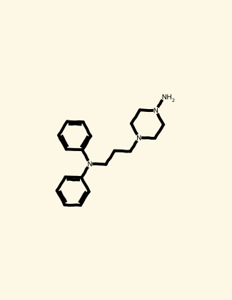 NN1CCN(CCCN(c2ccccc2)c2ccccc2)CC1